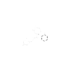 c1ccc(C2(NCCN3CCCO3)CCNCC2)cc1